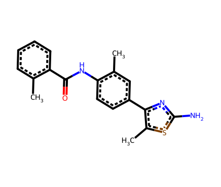 Cc1cc(-c2nc(N)sc2C)ccc1NC(=O)c1ccccc1C